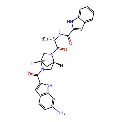 CC(C)(C)[C@H](NC(=O)c1cc2ccccc2[nH]1)C(=O)N1C[C@@H]2C[C@H]1CN2C(=O)c1cc2ccc(N)cc2[nH]1